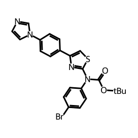 CC(C)(C)OC(=O)N(c1ccc(Br)cc1)c1nc(-c2ccc(-n3ccnc3)cc2)cs1